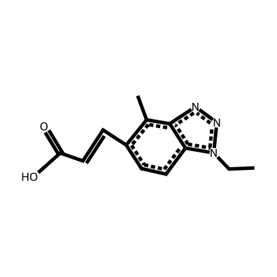 CCn1nnc2c(C)c(/C=C/C(=O)O)ccc21